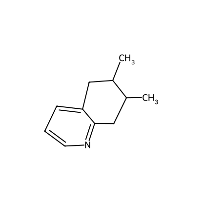 CC1Cc2cccnc2CC1C